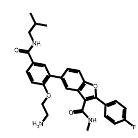 CNC(=O)c1c(-c2ccc(F)cc2)oc2ccc(-c3cc(C(=O)NCC(C)C)ccc3OCCN)cc12